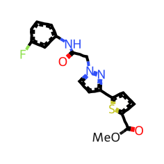 COC(=O)c1ccc(-c2ccn(CC(=O)Nc3cccc(F)c3)n2)s1